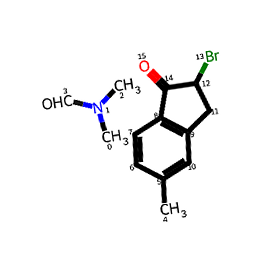 CN(C)C=O.Cc1ccc2c(c1)CC(Br)C2=O